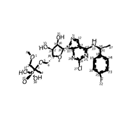 COCC(C)(OC[C@H]1O[C@@H](n2ncc3c(N[C@@H](C)c4ccc(F)cc4)nc(Cl)nc32)[C@H](O)[C@@H]1O)P(=O)(O)O